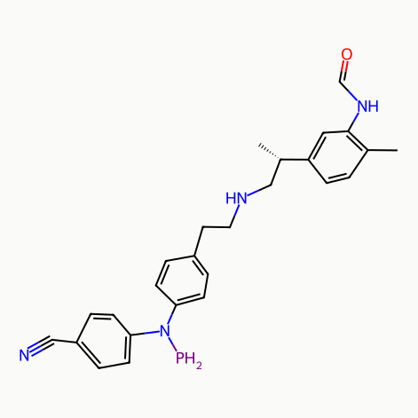 Cc1ccc([C@@H](C)CNCCc2ccc(N(P)c3ccc(C#N)cc3)cc2)cc1NC=O